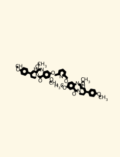 COC1=Nc2cc(OCc3cccc(COc4cc5c(cc4OC)C(=O)N4CCC(c6ccc(OC)cc6)=C[C@H]4C(OC)=N5)n3)c(OC)cc2C(=O)N2CCC(c3ccc(OC)cc3)=C[C@@H]12